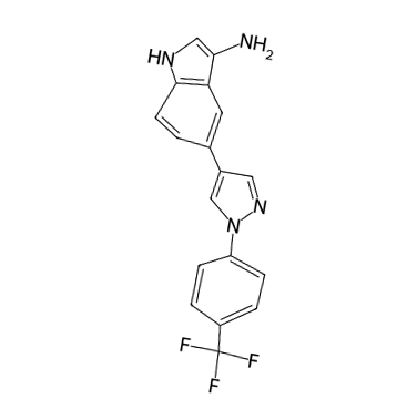 Nc1c[nH]c2ccc(-c3cnn(-c4ccc(C(F)(F)F)cc4)c3)cc12